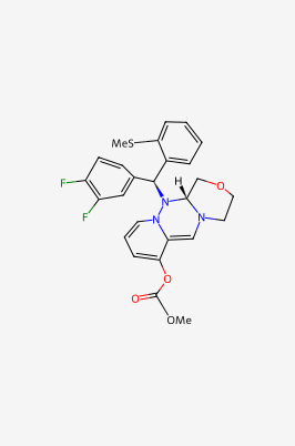 COC(=O)OC1=CC=CN2C1=CN1CCOC[C@H]1N2[C@@H](c1ccc(F)c(F)c1)c1ccccc1SC